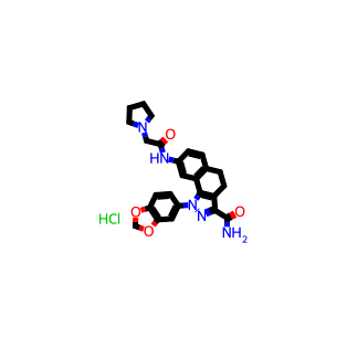 Cl.NC(=O)c1nn(-c2ccc3c(c2)OCO3)c2c1CCc1ccc(NC(=O)CN3CCCC3)cc1-2